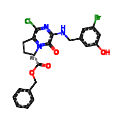 O=C(OCc1ccccc1)[C@@H]1CCc2c(Cl)nc(NCc3cc(O)cc(Br)c3)c(=O)n21